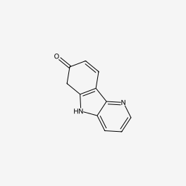 O=C1C=Cc2c([nH]c3cccnc23)C1